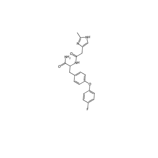 Cc1nc(CC(=O)NC(Cc2ccc(Oc3ccc(F)cc3)cc2)C(N)=O)c[nH]1